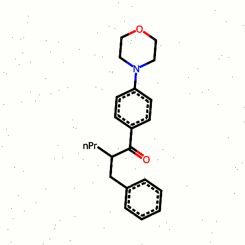 CCCC(Cc1ccccc1)C(=O)c1ccc(N2CCOCC2)cc1